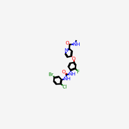 CNC(=O)c1cc(Oc2ccc(NC(=O)Nc3cc(Br)ccc3Cl)c(F)c2)ccn1